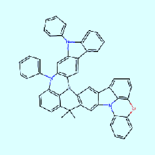 CC1(C)c2cc3c(cc2B2c4cc5c6ccccc6n(-c6ccccc6)c5cc4N(c4ccccc4)c4cccc1c42)c1cccc2c1n3-c1ccccc1O2